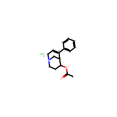 CC(=O)OC1CCN2CC=C(c3ccccc3)C1C2.Cl